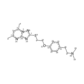 Cc1cc(C)n2nc(SCCOc3ccc(CCN(C)C)cc3)nc2n1